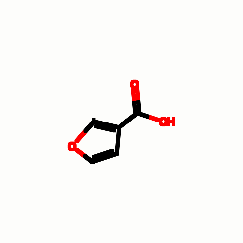 O=C(O)c1[c]occ1